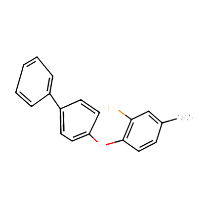 CNc1ccc(Oc2ccc(-c3ccccc3)cc2)c(P)c1